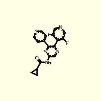 O=C(Nc1cnc(-c2c(F)cncc2F)c(-c2ccncc2)n1)C1CC1